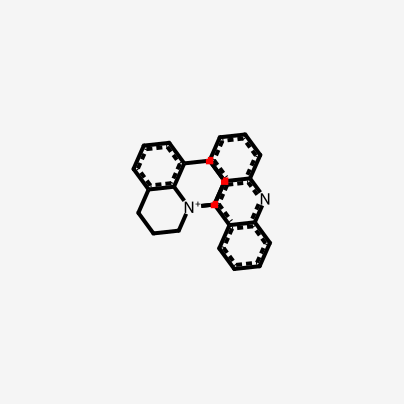 c1cc2c3c(c1)CCC[N+]3(c1c3ccccc3nc3ccccc13)CCC2